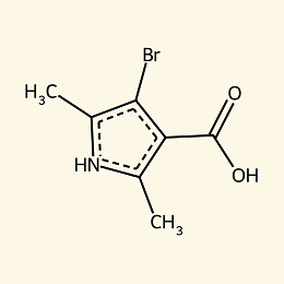 Cc1[nH]c(C)c(C(=O)O)c1Br